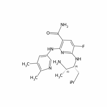 Cc1cc(Nc2nc(N[C@H](CC(C)C)[C@H](C)N)c(F)cc2C(N)=O)cnc1C